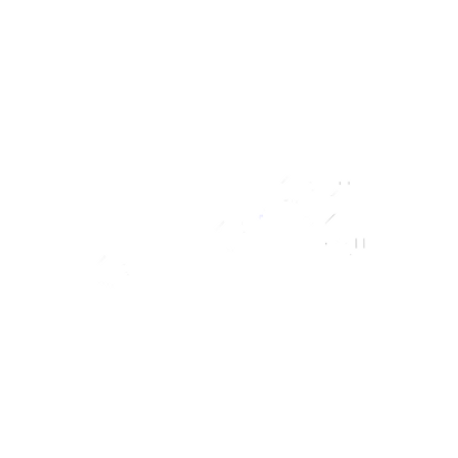 O=C(O)c1cc(=O)c2cccc(/C=C/c3ccc(OCCCCc4ccccc4)cc3)c2o1